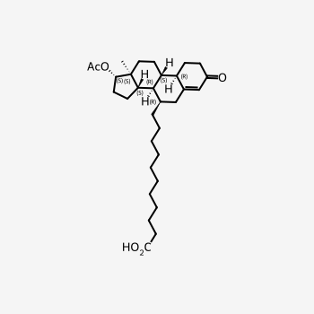 CC(=O)O[C@H]1CC[C@H]2[C@@H]3[C@H](CCCCCCCCCCC(=O)O)CC4=CC(=O)CC[C@@H]4[C@H]3CC[C@]12C